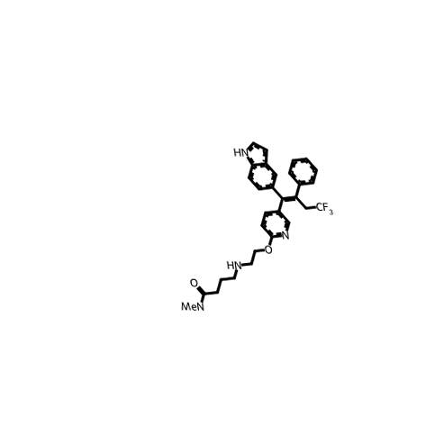 CNC(=O)CCCNCCOc1ccc(C(=C(CC(F)(F)F)c2ccccc2)c2ccc3[nH]ccc3c2)cn1